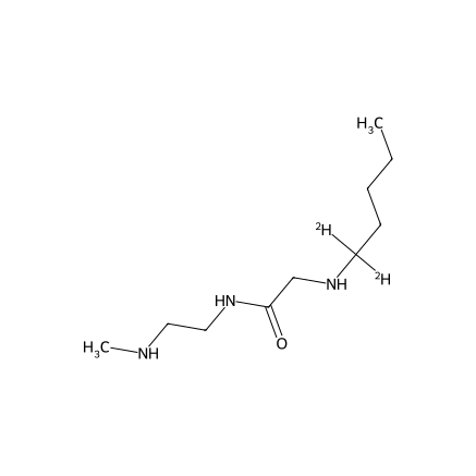 [2H]C([2H])(CCCC)NCC(=O)NCCNC